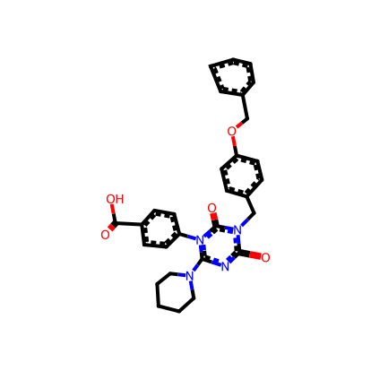 O=C(O)c1ccc(-n2c(N3CCCCC3)nc(=O)n(Cc3ccc(OCc4ccccc4)cc3)c2=O)cc1